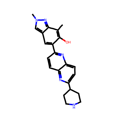 Cc1c(O)c(-c2ccc3nc(C4CCNCC4)ccc3n2)cc2cn(C)nc12